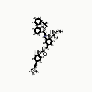 CC(C)(C)[Si](OC/C=C/c1cc(COC(=O)Nc2ccc(C#C[Si](C)(C)C)cc2)ccc1NC(=O)NO)(c1ccccc1)c1ccccc1